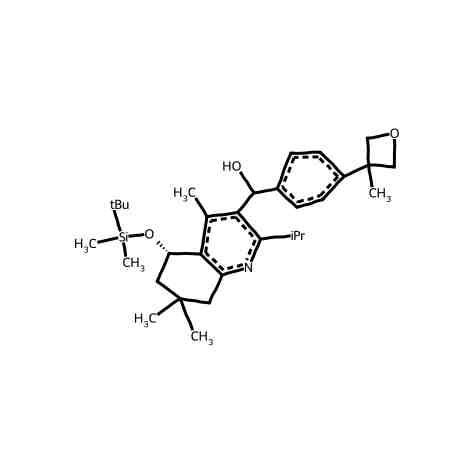 Cc1c(C(O)c2ccc(C3(C)COC3)cc2)c(C(C)C)nc2c1[C@@H](O[Si](C)(C)C(C)(C)C)CC(C)(C)C2